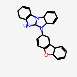 C1=CC2OC3=C(CC(N4C5C=CC=CC5N5C6=C(CCC=C6)NC54)C=C3)C2C=C1